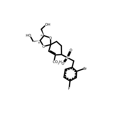 O=C(O)C1=CC2(CCC1S(=O)(=O)Cc1ccc(F)cc1Br)O[C@H](CO)[C@@H](CO)O2